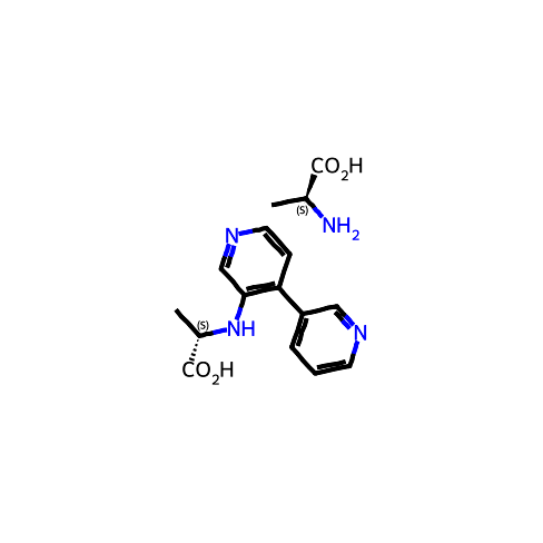 C[C@H](N)C(=O)O.C[C@H](Nc1cnccc1-c1cccnc1)C(=O)O